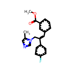 COC(=O)c1cccc(/C=C(\Cn2cncc2C)c2ccc(F)cc2)c1